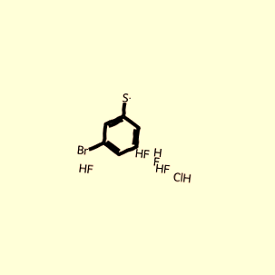 Cl.F.F.F.F.[S]c1cccc(Br)c1